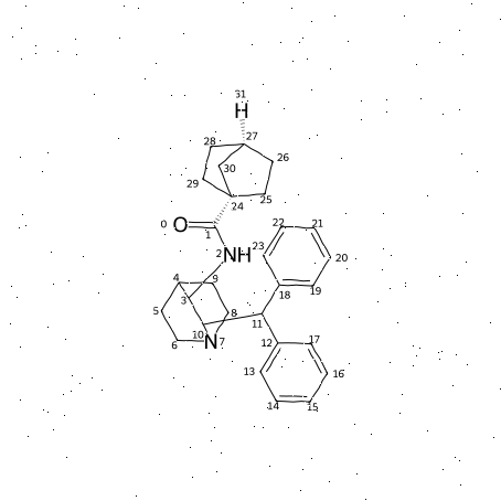 O=C(NC1C2CCN(CC2)C1C(c1ccccc1)c1ccccc1)[C@]12CC[C@H](CC1)C2